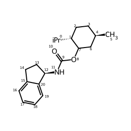 CC(C)[C@@H]1CC[C@@H](C)CC1OC(=O)N[C@@H]1CCc2ccccc21